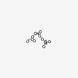 C1=C(c2ccc(-c3cc(-c4ccccc4)nc(-c4ccccc4)n3)cc2)CCc2c1c1ccccc1n2-c1cccc(-c2ccc3c(Cc4ccccc4)cc4ccccc4c3c2)c1